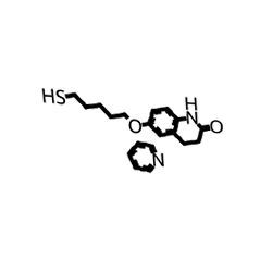 O=C1CCc2cc(OCCCCCS)ccc2N1.c1ccncc1